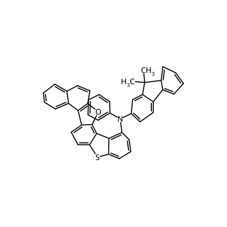 CC1(C)c2ccccc2-c2ccc(N(c3ccccc3)c3cccc4sc5ccc6c(oc7ccc8ccccc8c76)c5c34)cc21